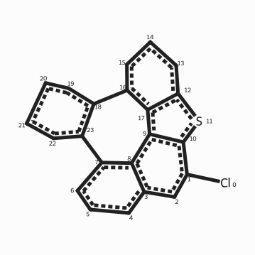 Clc1cc2cccc3c2c2c1sc1cccc(c12)-c1ccccc1-3